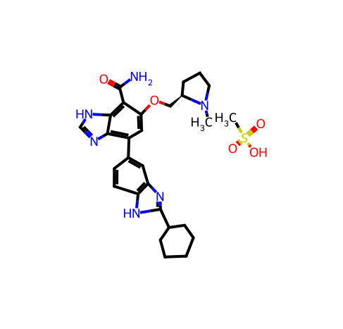 CN1CCC[C@@H]1COc1cc(-c2ccc3[nH]c(C4CCCCC4)nc3c2)c2nc[nH]c2c1C(N)=O.CS(=O)(=O)O